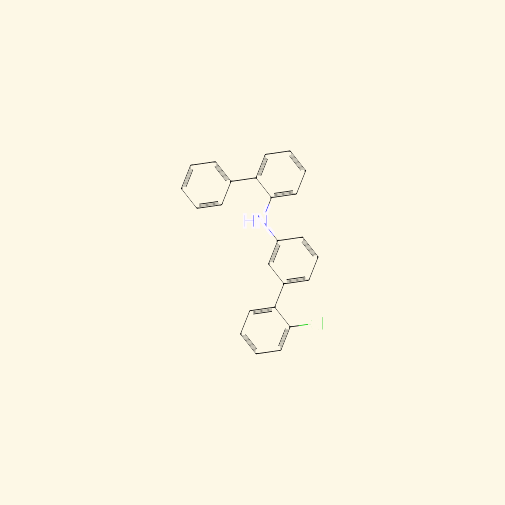 Clc1ccccc1-c1cccc(Nc2ccccc2-c2ccccc2)c1